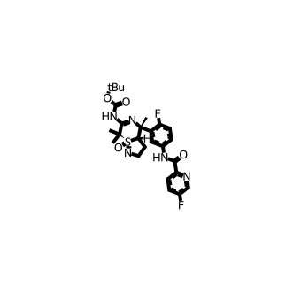 CC(C)(C)OC(=O)NC1=N[C@](C)(c2cc(NC(=O)c3ccc(F)cn3)ccc2F)[C@@H]2CCN=[S@]2(=O)C1(C)C